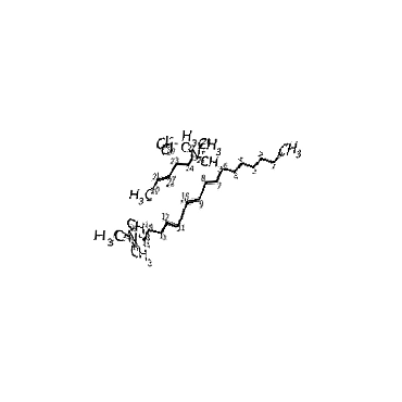 CCCCCCCCCCCCCCCC[N+](C)(C)C.CCCCC[N+](C)(C)C.[Cl-].[Cl-]